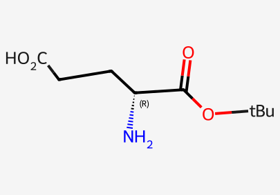 CC(C)(C)OC(=O)[C@H](N)CCC(=O)O